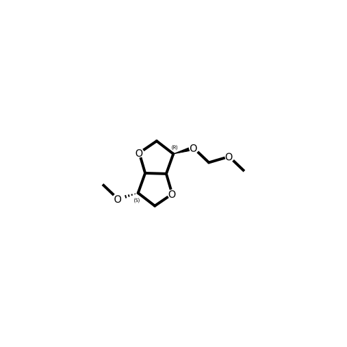 COCO[C@@H]1COC2C1OC[C@@H]2OC